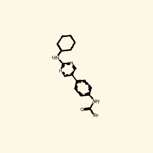 CC(C)C(=O)Nc1ccc(-c2cnc(NC3CCCCC3)nc2)cc1